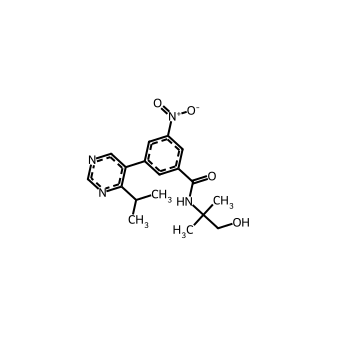 CC(C)c1ncncc1-c1cc(C(=O)NC(C)(C)CO)cc([N+](=O)[O-])c1